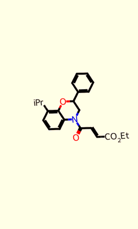 CCOC(=O)/C=C/C(=O)N1CC(c2ccccc2)Oc2c(C(C)C)cccc21